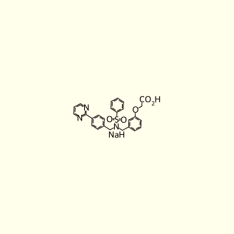 O=C(O)COc1cccc(CN(Cc2ccc(-c3ncccn3)cc2)S(=O)(=O)c2ccccc2)c1.[NaH]